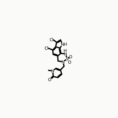 Cn1cc(CN2Cc3cc(Cl)c4c(Cl)c[nH]c4c3NS2(=O)=O)ccc1=O